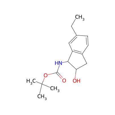 CCc1ccc2c(c1)C(NC(=O)OC(C)(C)C)C(O)C2